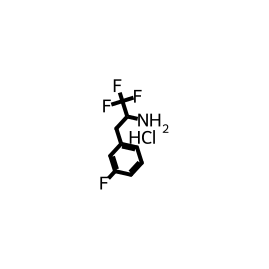 Cl.NC(Cc1cccc(F)c1)C(F)(F)F